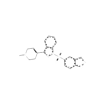 CN1CC=C(c2nn(S(=O)(=O)c3ccc4oncc4c3)c3ccccc23)CC1